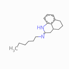 CCCCCCN=C1CC2CCCc3cccc(c32)N1